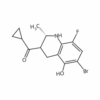 C[C@@H]1Nc2c(F)cc(Br)c(O)c2CC1C(=O)C1CC1